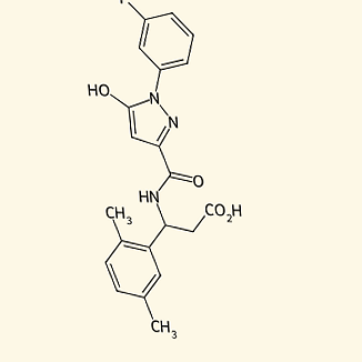 Cc1ccc(C)c(C(CC(=O)O)NC(=O)c2cc(O)n(-c3cccc(F)c3)n2)c1